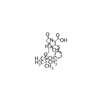 CC(C)(C)[Si](C)(C)OCC[C@@]1(C)C(Sc2ccccc2)=C(C(=O)O)N2C(=O)C[C@@H]21